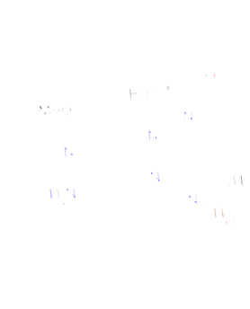 COc1cc(-c2nc(/N=[SH](\C)=O)cc(N3CCOC[C@H]3C)n2)cc(N)n1